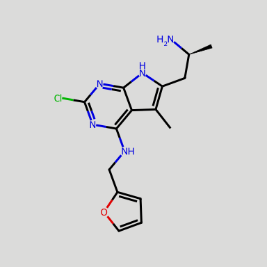 Cc1c(C[C@H](C)N)[nH]c2nc(Cl)nc(NCc3ccco3)c12